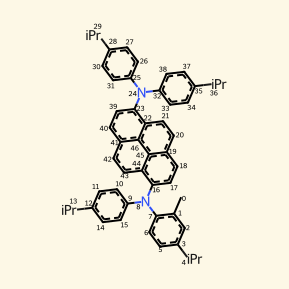 Cc1cc(C(C)C)ccc1N(c1ccc(C(C)C)cc1)c1ccc2ccc3c(N(c4ccc(C(C)C)cc4)c4ccc(C(C)C)cc4)ccc4ccc1c2c43